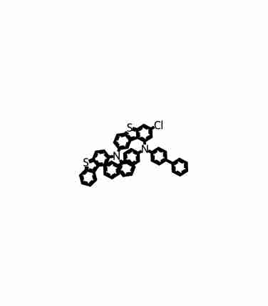 Clc1cc(N(c2ccc(-c3ccccc3)cc2)c2ccc(-c3ccccc3)cc2)c2c(c1)sc1ccc(N(c3ccccc3)c3ccc4sc5ccccc5c4c3)cc12